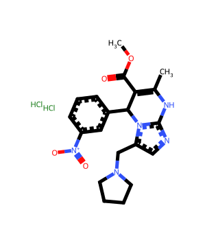 COC(=O)C1=C(C)Nc2ncc(CN3CCCC3)n2C1c1cccc([N+](=O)[O-])c1.Cl.Cl